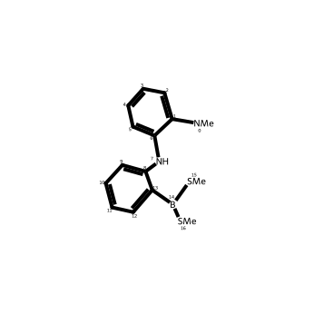 CNc1ccccc1Nc1ccccc1B(SC)SC